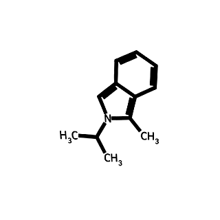 Cc1c2ccccc2cn1C(C)C